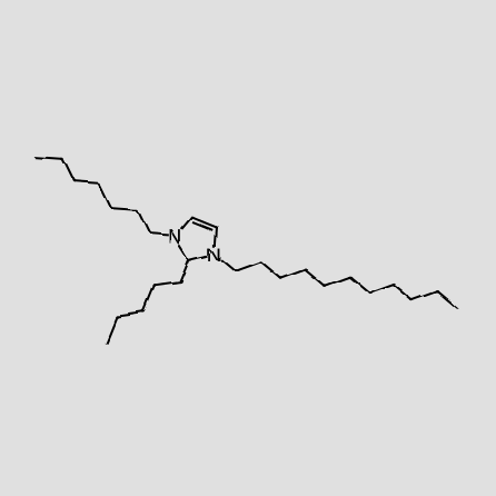 CCCCCCCCCCCN1C=CN(CCCCCCC)C1CCCCC